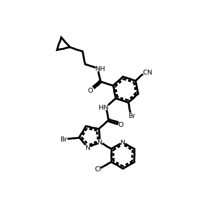 N#Cc1cc(Br)c(NC(=O)c2cc(Br)nn2-c2ncccc2Cl)c(C(=O)NCCC2CC2)c1